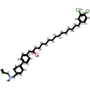 C=CCN(C)Cc1ccc(-c2ccc(CC(=O)CCCCCCCCCCCCCCc3ccc(Cl)c(Cl)c3)cc2)cc1